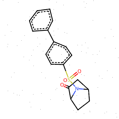 O=C1CC2CCC1N2S(=O)(=O)c1ccc(-c2ccccc2)cc1